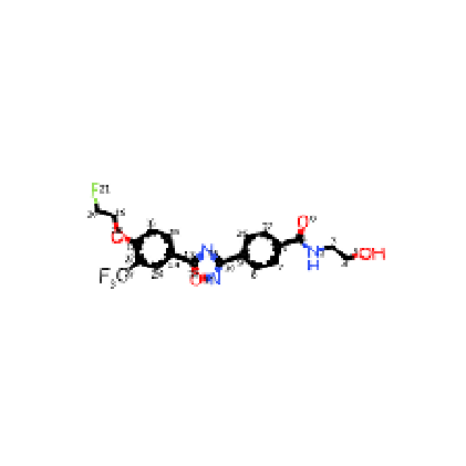 O=C(NCCO)c1ccc(-c2noc(-c3ccc(OCCF)c(C(F)(F)F)c3)n2)cc1